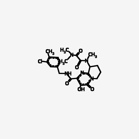 Cc1ccc(CNC(=O)c2nc3n(c(=O)c2O)CCCC3N(C)C(=O)C(=O)N(C)C)cc1Cl